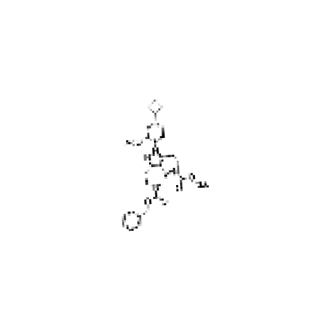 CC(=O)Oc1cc(C2CCC2)ccc1-n1nc2c3c1CCN(C(=O)OC(C)(C)C)[C@H]3CN(C(=O)OCc1ccccc1)CC2